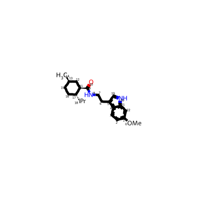 COc1ccc2c(CCNC(=O)[C@@H]3C[C@H](C)CC[C@H]3C(C)C)c[nH]c2c1